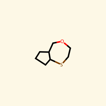 C1CC2COCCSC2C1